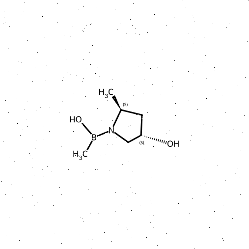 CB(O)N1C[C@@H](O)C[C@@H]1C